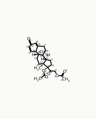 CC(=O)OCC(=O)[C@@]1(OC(C)=O)CC[C@H]2[C@@H]3CCC4=CC(=O)C=C[C@]4(C)[C@H]3CC[C@@]21C